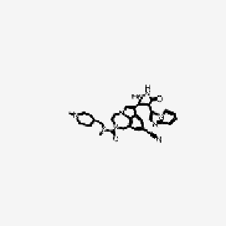 CN1CCC(CN(C)C(=O)N2CCn3cc(-c4[nH][nH]c(=O)c4-c4cnc5ccccn45)c4cc(C#N)cc(c43)C2)CC1